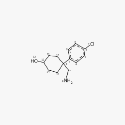 NCC1(c2ccc(Cl)cc2)CCC(O)CC1